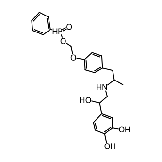 CC(Cc1ccc(OCO[PH](=O)c2ccccc2)cc1)NCC(O)c1ccc(O)c(O)c1